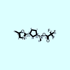 Cc1cnc([C@H]2CC[C@@H](N(C)OC(=O)C(F)(F)F)C2)o1